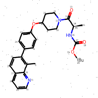 Cc1c(-c2ccc(OC3CCN(C(=O)[C@@H](C)NC(=O)OC(C)(C)C)CC3)cc2)ccc2cccnc12